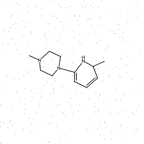 CC1C=CC=C(N2CCN(C)CC2)N1